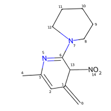 C=C1C=C(C)N=C(N2CCCCC2)C1[N+](=O)[O-]